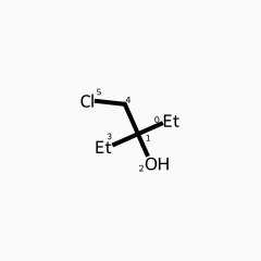 CCC(O)(CC)CCl